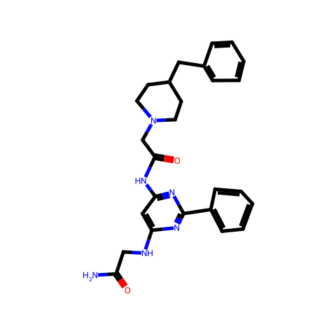 NC(=O)CNc1cc(NC(=O)CN2CCC(Cc3ccccc3)CC2)nc(-c2ccccc2)n1